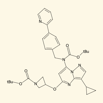 CC(C)(C)OC(=O)N1CC(Oc2cc(N(Cc3ccc(-c4ccccn4)cc3)C(=O)OC(C)(C)C)n3ncc(C4CC4)c3n2)C1